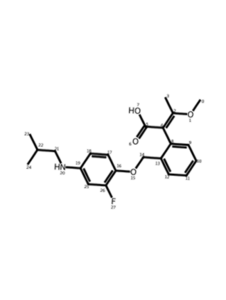 COC(C)=C(C(=O)O)c1ccccc1COc1ccc(NCC(C)C)cc1F